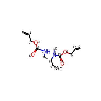 C=CCOC(=O)NC[C@@H](CC(C)=O)N(C)C(=O)OCC=C